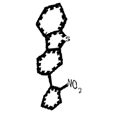 O=[N+]([O-])c1ccccc1-c1ccc2c(c1)sc1ccccc12